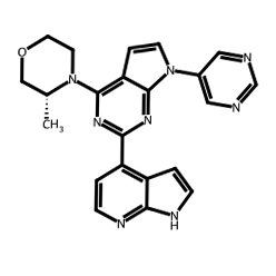 C[C@@H]1COCCN1c1nc(-c2ccnc3[nH]ccc23)nc2c1ccn2-c1cncnc1